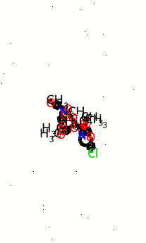 COc1ccc(CO[C@@H](CCOC[C@@H](C)S(=O)(=O)N(Cc2ccc(OC)cc2)Cc2ccc(OC)cc2)[C@@H]2CC[C@H]2CN2CCCCc3cc(Cl)ccc3COc3ccc(C(=O)OC(C)(C)C)cc32)cc1